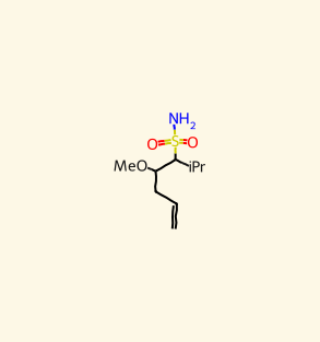 C=CCC(OC)C(C(C)C)S(N)(=O)=O